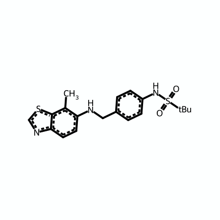 Cc1c(NCc2ccc(NS(=O)(=O)C(C)(C)C)cc2)ccc2ncsc12